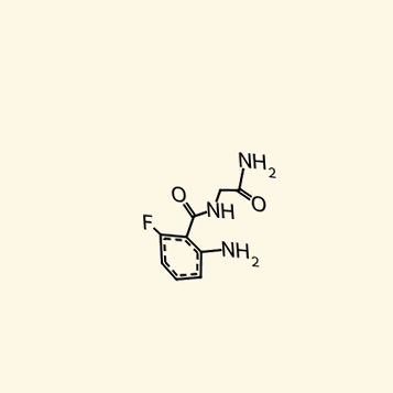 NC(=O)CNC(=O)c1c(N)cccc1F